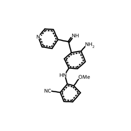 COc1cccc(C#N)c1Nc1ccc(N)c(C(=N)c2ccncc2)c1